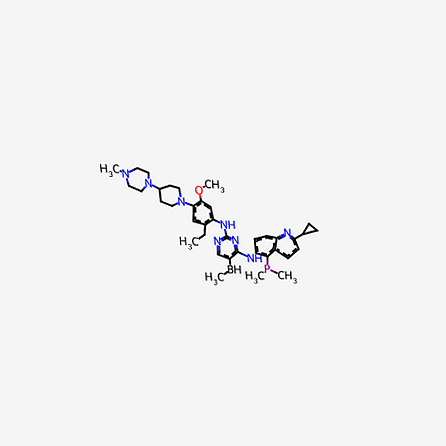 CBc1cnc(Nc2cc(OC)c(N3CCC(N4CCN(C)CC4)CC3)cc2CC)nc1Nc1ccc2nc(C3CC3)ccc2c1P(C)C